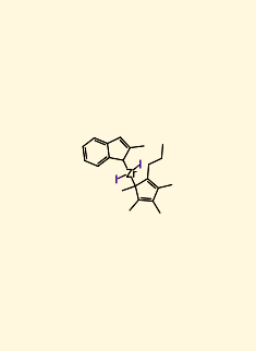 CCCC1=C(C)C(C)=C(C)[C]1(C)[Zr]([I])([I])[CH]1C(C)=Cc2ccccc21